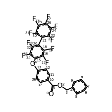 O=C(OCc1ccccc1)c1ccc(Oc2c(F)c(F)c(-c3c(F)c(F)c(F)c(F)c3F)c(F)c2F)cc1